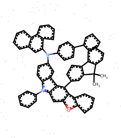 CC1(C)c2ccccc2-c2ccc(-c3c4c(cc5c3c3cc(N(c6ccc(-c7ccccc7)cc6)c6cc7ccccc7c7ccccc67)ccc3n5-c3ccccc3)oc3ccccc34)cc21